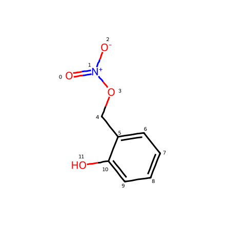 O=[N+]([O-])OCc1ccccc1O